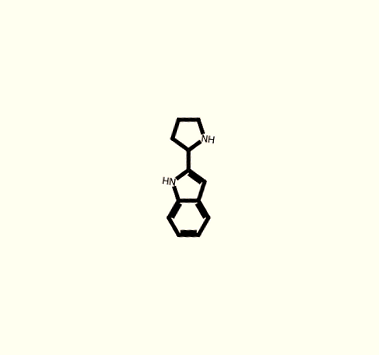 c1ccc2[nH]c(C3CCCN3)cc2c1